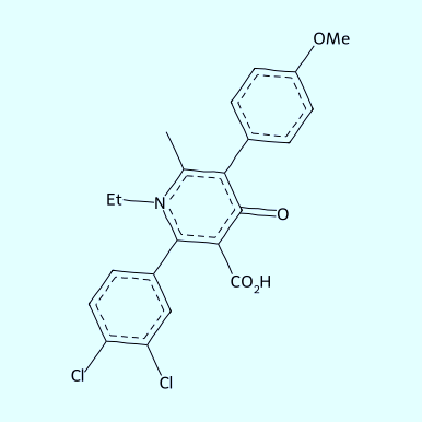 CCn1c(C)c(-c2ccc(OC)cc2)c(=O)c(C(=O)O)c1-c1ccc(Cl)c(Cl)c1